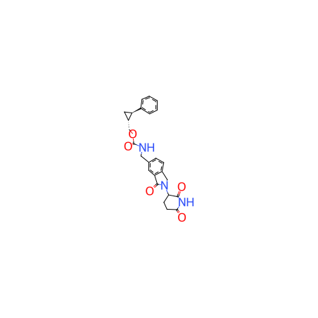 O=C1CCC(N2Cc3ccc(CNC(=O)OC[C@@H]4C[C@H]4c4ccccc4)cc3C2=O)C(=O)N1